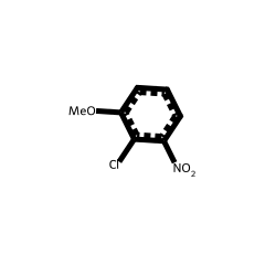 COc1cccc([N+](=O)[O-])c1Cl